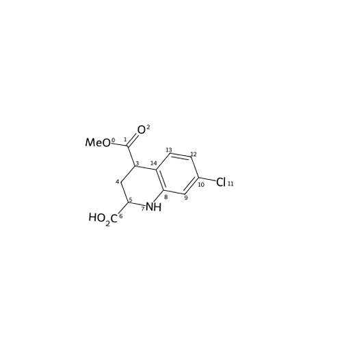 COC(=O)C1CC(C(=O)O)Nc2cc(Cl)ccc21